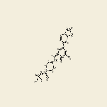 Cc1nc2ccc(-c3cc(F)c4nn(C5CCN(C(=O)OC(C)(C)C)CC5)cc4c3)cc2o1